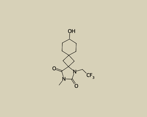 CN1C(=O)N(CC(F)(F)F)C2(CC3(CCC(O)CC3)C2)C1=O